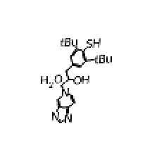 CC(C)(C)c1cc(CC(O)Cn2ccc3ncnc-3c2)cc(C(C)(C)C)c1S.O